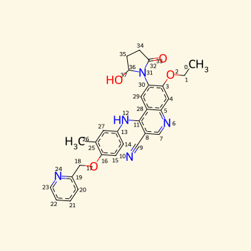 CCOc1cc2ncc(C#N)c(Nc3ccc(OCc4ccccn4)c(C)c3)c2cc1N1C(=O)CCC1O